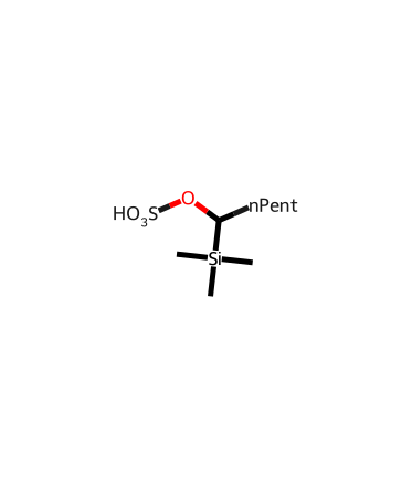 CCCCCC(OS(=O)(=O)O)[Si](C)(C)C